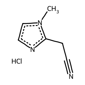 Cl.Cn1ccnc1CC#N